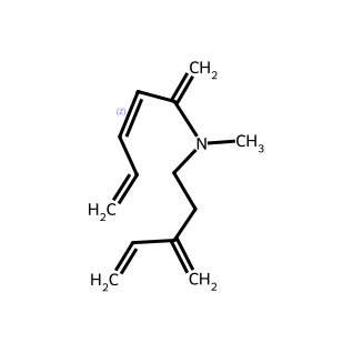 C=C/C=C\C(=C)N(C)CCC(=C)C=C